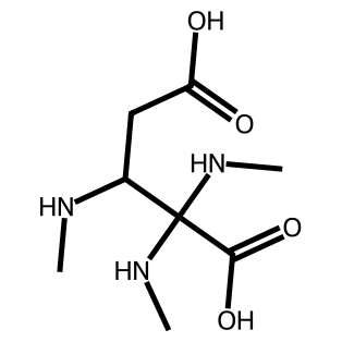 CNC(CC(=O)O)C(NC)(NC)C(=O)O